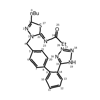 CCCCc1nn(Cc2ccc(-c3ccccc3-c3nnn[nH]3)cc2)c(=NC(=O)CC)s1